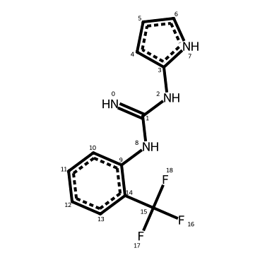 N=C(Nc1ccc[nH]1)Nc1ccccc1C(F)(F)F